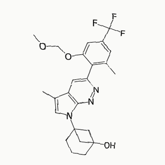 COCOc1cc(C(F)(F)F)cc(C)c1-c1cc2c(C)cn(C34CCCC(O)(C3)C4)c2nn1